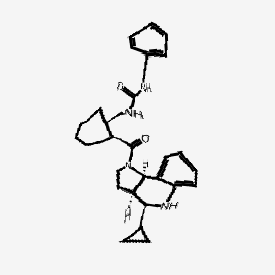 O=C(Nc1ccccc1)N[C@@H]1CCCC[C@@H]1C(=O)N1CC[C@@H]2[C@H](C3CC3)Nc3ccccc3[C@@H]21